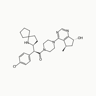 C[C@@H]1C[C@@H](O)c2ncnc(N3CCN(C(=O)[C@@H](c4ccc(Cl)cc4)[C@@H]4CCC5(CCCC5)N4)CC3)c21